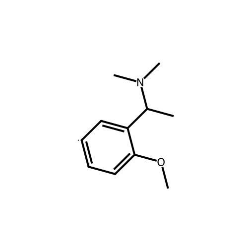 COc1cc[c]cc1C(C)N(C)C